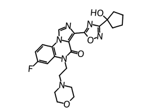 O=c1c2c(-c3nc(C4(O)CCCC4)no3)ncn2c2ccc(F)cc2n1CCN1CCOCC1